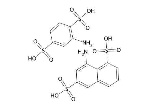 Nc1cc(S(=O)(=O)O)cc2cccc(S(=O)(=O)O)c12.Nc1cc(S(=O)(=O)O)ccc1S(=O)(=O)O